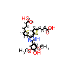 COc1cc(-c2nc(-c3ccc(CCCC(=O)O)s3)c(-c3ccc(CCCC(=O)O)s3)[nH]2)cc(OC)c1O